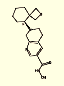 O=C(NO)c1cnc2c(c1)CCN([C@H]1CCCCC13COC3)C2